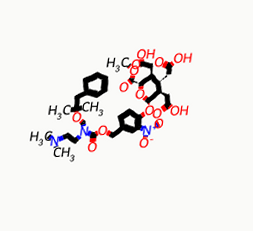 COC(=O)[C@H]1O[C@@H](Oc2ccc(COC(=O)N(CCN(C)C)COC(C)(C)Cc3ccccc3)cc2[N+](=O)[O-])[C@H](CC(=O)O)[C@@H](CC(=O)O)[C@@H]1CC(=O)O